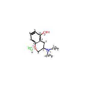 CCCN(CCC)C1COc2cccc(O)c2C1.Cl